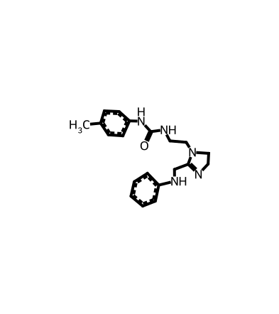 Cc1ccc(NC(=O)NCCN2CCN=C2CNc2ccccc2)cc1